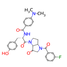 CN(C)c1ccc(C(=O)N[C@@H](Cc2ccc(O)cc2)C(=O)N2CCC3C2C(=O)CN3C(=O)c2cccc(F)c2)cc1